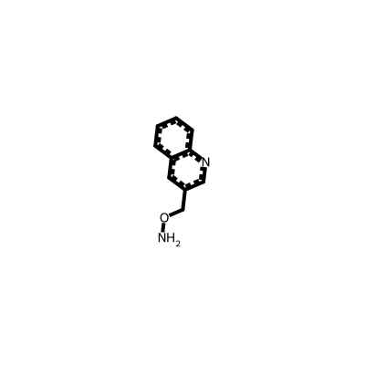 NOCc1cnc2ccccc2c1